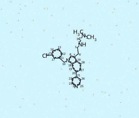 CN(C)SNCCc1cn(Cc2cccc(Cl)c2)c2cc(-c3ccncc3)ccc12